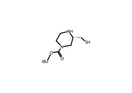 CC(C)(C)OC(=O)N1CCN[C@H](CS)C1